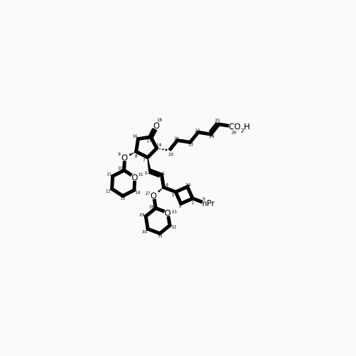 CCCC1CC([C@@H](/C=C/[C@H]2[C@H](OC3CCCCO3)CC(=O)[C@@H]2CCCC/C=C/C(=O)O)OC2CCCCO2)C1